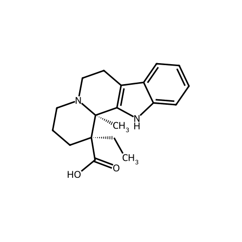 CC[C@]1(C(=O)O)CCCN2CCc3c([nH]c4ccccc34)[C@]21C